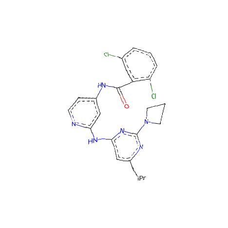 CC(C)c1cc(Nc2cc(NC(=O)c3c(Cl)cccc3Cl)ccn2)nc(N2CCC2)n1